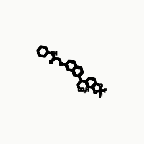 O=C(O)CC(c1ccc2c(c1)OC(F)(F)O2)c1ccc2ccc(OCC(=O)NC3CCCCC3)cc2c1